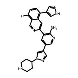 Nc1ncc(-c2cnn(C3CCNCC3)c2)cc1-c1cc2c(-c3cn[nH]c3)ccc(F)c2cn1